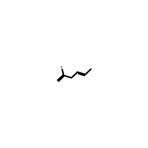 [CH]=C(F)C/C=C/C